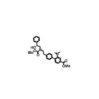 COC(=O)c1ccc(-c2ccc(CCN(C[C@H](O)c3ccccc3)C(=O)OC(C)(C)C)cc2)c(N(C)C)c1